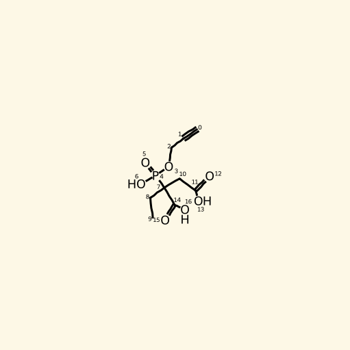 C#CCOP(=O)(O)C(CC)(CC(=O)O)C(=O)O